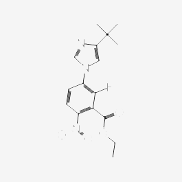 CCOC(=O)c1c([N+](=O)[O-])ccc(-n2cnc(C(C)(C)C)c2)c1F